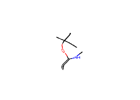 C=C(NC)OC(C)(C)C